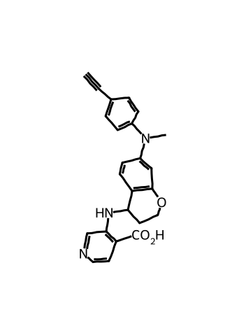 C#Cc1ccc(N(C)c2ccc3c(c2)OCCC3Nc2cnccc2C(=O)O)cc1